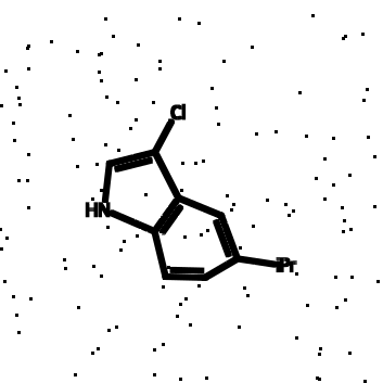 CC(C)c1ccc2[nH]cc(Cl)c2c1